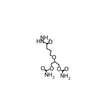 NNC(=O)CCCOC(COC(N)=O)COC(N)=O